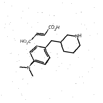 CN(C)c1ccc(CC2CCCNC2)cc1.O=C(O)C=CC(=O)O